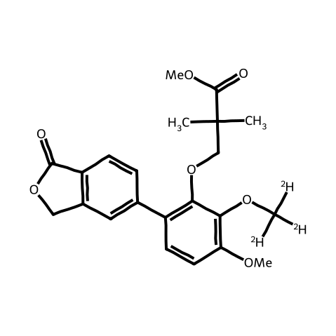 [2H]C([2H])([2H])Oc1c(OC)ccc(-c2ccc3c(c2)COC3=O)c1OCC(C)(C)C(=O)OC